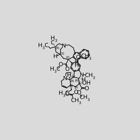 CC[C@]1(C)C[C@@H]2CN(CCc3c([nH]c4ccccc34)[C@@](C(=O)OC)(c3cc4c(cc3OC)N(C)[C@H]3[C@@](O)(C(=O)OC)[C@H](OC(C)=O)[C@]5(CC)C=CCN6CC[C@]43[C@@H]65)C2)C1